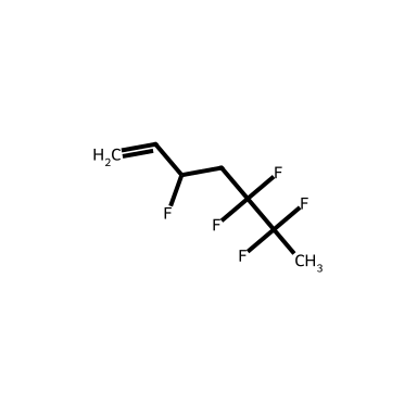 C=CC(F)CC(F)(F)C(C)(F)F